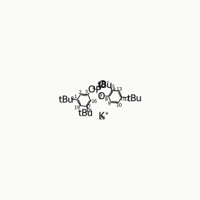 CC(C)(C)c1cc(OP([O-])Oc2ccc(C(C)(C)C)cc2C(C)(C)C)cc(C(C)(C)C)c1.[K+]